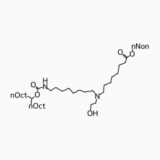 CCCCCCCCCOC(=O)CCCCCCCN(CCO)CCCCCCCCNC(=O)OC(CCCCCCCC)CCCCCCCC